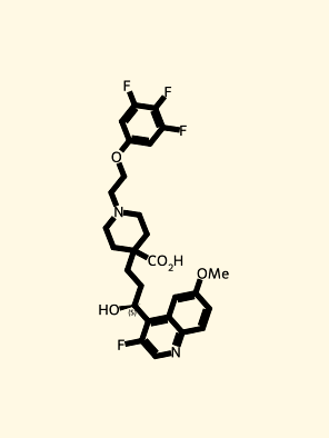 COc1ccc2ncc(F)c([C@@H](O)CCC3(C(=O)O)CCN(CCOc4cc(F)c(F)c(F)c4)CC3)c2c1